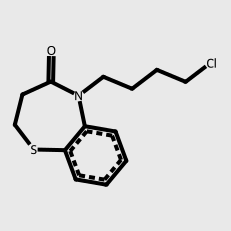 O=C1CCSc2ccccc2N1CCCCCl